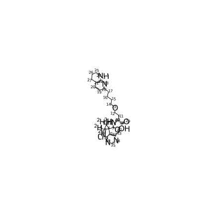 [2H]C1([2H])C([2H])([2H])C1(C(=O)N[C@@H](CCOCCCCc1ccc2c(n1)NCCC2)C(=O)O)c1c(C)ncnc1Cl